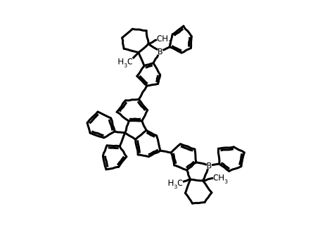 CC12CCCCC1(C)c1cc(-c3ccc4c(c3)-c3cc(-c5ccc6c(c5)C5(C)CCCCC5(C)B6c5ccccc5)ccc3C4(c3ccccc3)c3ccccc3)ccc1B2c1ccccc1